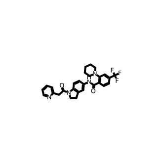 O=C(Nc1ccc2c(c1)CCN2C(=O)Cc1ccccn1)c1ccc(C(F)(F)F)cc1N1CCCCC1